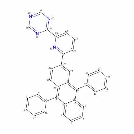 c1ccc(-c2c3ccccc3c(-c3ccccc3)c3cc(-c4cccc(-c5ncncn5)n4)ccc23)cc1